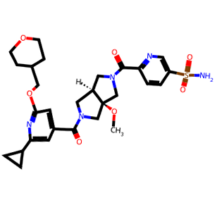 CO[C@@]12CN(C(=O)c3cc(OCC4CCOCC4)nc(C4CC4)c3)C[C@H]1CN(C(=O)c1ccc(S(N)(=O)=O)cn1)C2